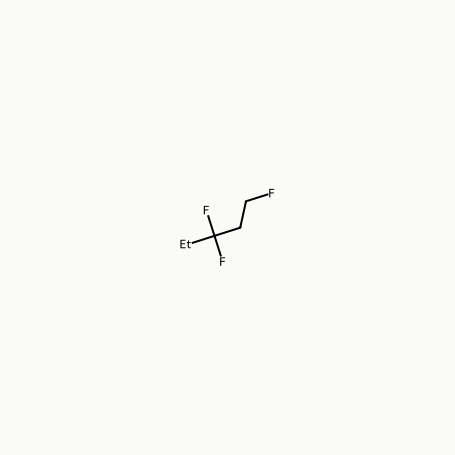 [CH2]CC(F)(F)CCF